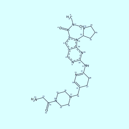 CN(C)C(=O)c1cc2cnc(NC3=NC=C(CN4CCN(C(=O)CN)CC4)CC3)nc2n1C1CCCC1